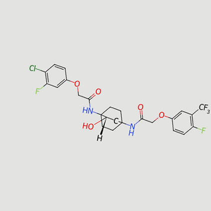 O=C(COc1ccc(F)c(C(F)(F)F)c1)NC12CCC(NC(=O)COc3ccc(Cl)c(F)c3)(CC1)[C@@H](O)C2